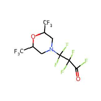 O=C(F)C(F)(F)C(F)(F)N1CC(C(F)(F)F)OC(C(F)(F)F)C1